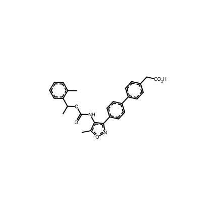 Cc1ccccc1C(C)OC(=O)Nc1c(-c2ccc(-c3ccc(CC(=O)O)cc3)cc2)noc1C